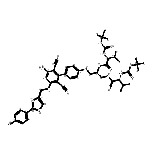 CC(C)[C@H](NC(=O)OC(C)(C)C)C(=O)OC[C@@H](COc1ccc(-c2c(C#N)c(N)nc(SCc3coc(-c4ccc(Cl)cc4)n3)c2C#N)cc1)OC(=O)[C@@H](NC(=O)OC(C)(C)C)C(C)C